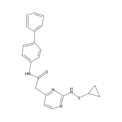 O=C(Cc1ccnc(NSC2CC2)n1)Nc1ccc(-c2ccccc2)cc1